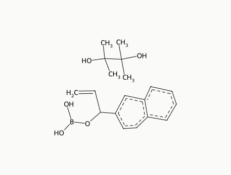 C=CC(OB(O)O)c1ccc2ccccc2c1.CC(C)(O)C(C)(C)O